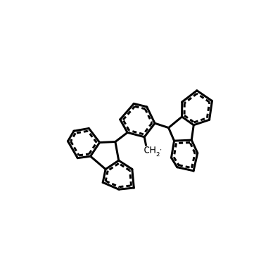 [CH2]c1c(C2c3ccccc3-c3ccccc32)cccc1C1c2ccccc2-c2ccccc21